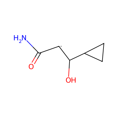 NC(=O)[CH]C(O)C1CC1